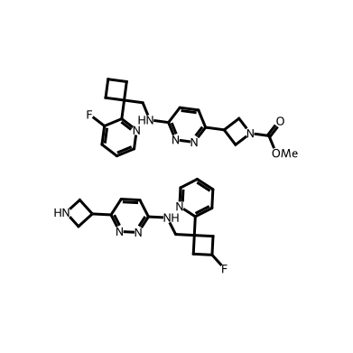 COC(=O)N1CC(c2ccc(NCC3(c4ncccc4F)CCC3)nn2)C1.FC1CC(CNc2ccc(C3CNC3)nn2)(c2ccccn2)C1